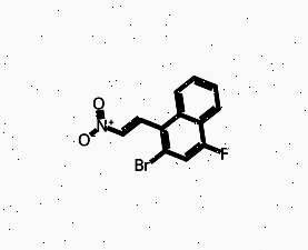 O=[N+]([O-])C=Cc1c(Br)cc(F)c2ccccc12